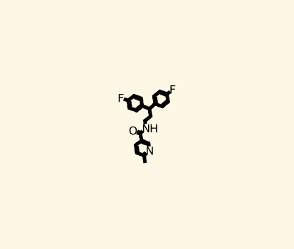 Cc1ccc(C(=O)NCCC(c2ccc(F)cc2)c2ccc(F)cc2)cn1